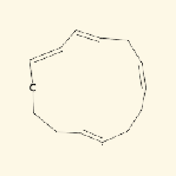 [C]1=C/CCC/C=C/C=C/C/C=C\CC/1